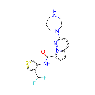 O=C(Nc1cscc1C(F)F)c1ccc2ccc(N3CCCNCC3)nn12